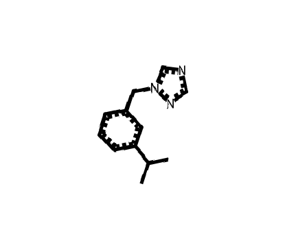 CC(C)c1cccc(Cn2cncn2)c1